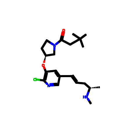 CN[C@@H](C)C/C=C/c1cnc(Cl)c(O[C@@H]2CCN(C(=O)CC(C)(C)C)C2)c1